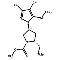 COC[C@H]1C[C@H](n2nc(Br)c(C#N)c2NC=O)CN1C(=O)OC(C)(C)C